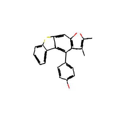 Cc1oc2cc3sc4ccccc4c3c(-c3ccc(O)cc3)c2c1C